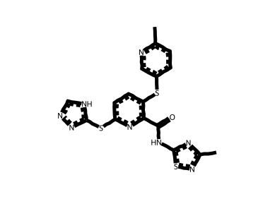 Cc1ccc(Sc2ccc(Sc3nnc[nH]3)nc2C(=O)Nc2nc(C)ns2)cn1